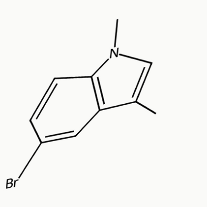 Cc1cn(C)c2ccc(Br)cc12